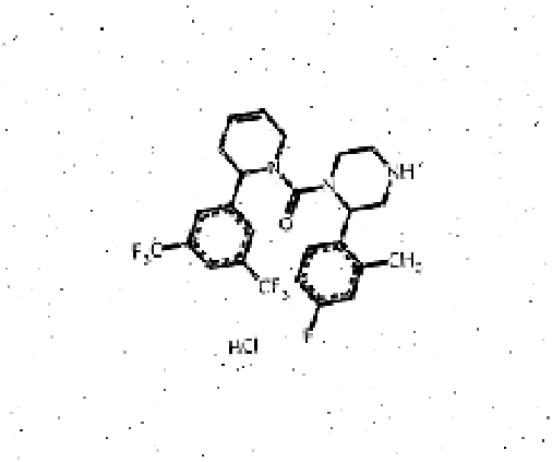 Cc1cc(F)ccc1C1CNCCN1C(=O)N1CC=CCC1c1cc(C(F)(F)F)cc(C(F)(F)F)c1.Cl